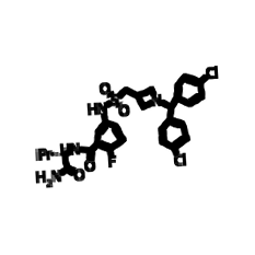 CC(C)[C@H](NC(=O)c1cc(NS(=O)(=O)CC2CN(C(c3ccc(Cl)cc3)c3ccc(Cl)cc3)C2)ccc1F)C(N)=O